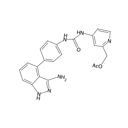 CC(=O)OCc1cc(NC(=O)Nc2ccc(-c3cccc4[nH]nc(N)c34)cc2)ccn1